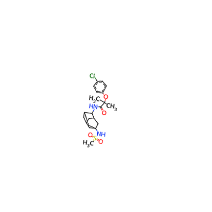 CC(C)(Oc1ccc(Cl)cc1)C(=O)NC1C2CC3CC1CC(NS(C)(=O)=O)(C3)C2